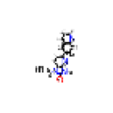 Cn1c(=O)n(CC(C)(C)C)c2ccc(-c3ccc4ncccc4c3)nc21